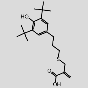 C=C(CSCCCc1cc(C(C)(C)C)c(O)c(C(C)(C)C)c1)C(=O)O